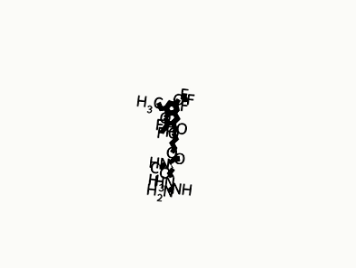 CCc1cc(OC(F)(F)F)cc2c1OC(C(F)(F)F)C(C(=O)OCCCOC(=O)[C@H](CCCNC(=N)N)NC(C)=O)=C2